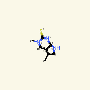 Cc1c[nH]c2nc(=S)n(C)cc12